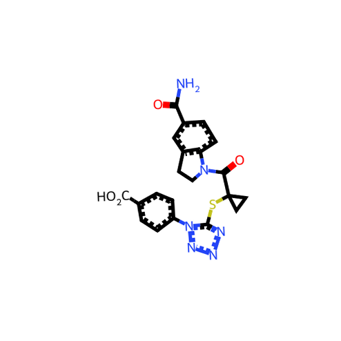 NC(=O)c1ccc2c(c1)CCN2C(=O)C1(Sc2nnnn2-c2ccc(C(=O)O)cc2)CC1